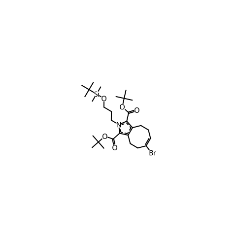 CC(C)(C)OC(=O)c1c2c(c(C(=O)OC(C)(C)C)n1CCCO[Si](C)(C)C(C)(C)C)CC/C(Br)=C\CC2